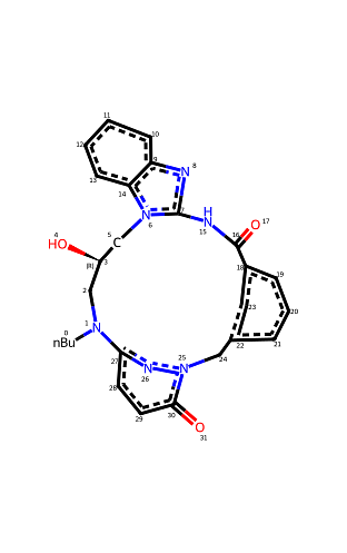 CCCCN1C[C@@H](O)Cn2c(nc3ccccc32)NC(=O)c2cccc(c2)Cn2nc1ccc2=O